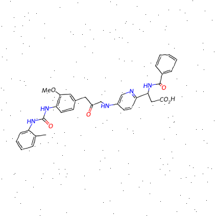 COc1cc(CC(=O)CNc2ccc(C(CC(=O)O)NC(=O)c3ccccc3)nc2)ccc1NC(=O)Nc1ccccc1C